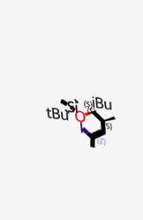 CC[C@H](C)[C@H](O[Si](C)(C)C(C)(C)C)[C@@H](C)/C=C(/C)I